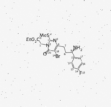 CCOC(=O)Cn1c(SC)nc(CC[C@@H](N)c2ccc(F)cc2)c(Br)c1=O